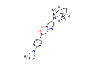 CCN(CC)c1ccc(C(=O)Cn2ncc(N[C@@H]3C[C@@H]4C[C@H]([C@H]3C)C4(C)C)cc2=O)cc1